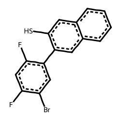 Fc1cc(F)c(-c2cc3ccccc3cc2S)cc1Br